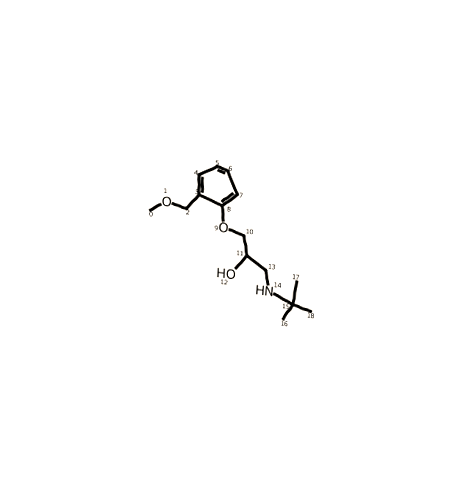 COCc1ccccc1OCC(O)CNC(C)(C)C